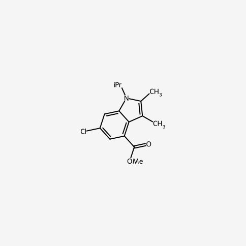 COC(=O)c1cc(Cl)cc2c1c(C)c(C)n2C(C)C